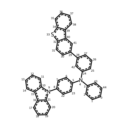 c1ccc(N(c2ccc(-n3c4ccccc4c4ccccc43)cc2)c2cccc(-c3ccc4sc5ccccc5c4c3)c2)cc1